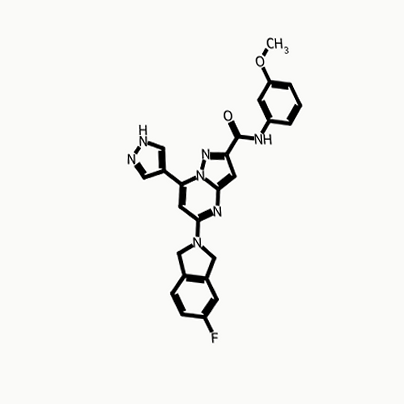 COc1cccc(NC(=O)c2cc3nc(N4Cc5ccc(F)cc5C4)cc(-c4cn[nH]c4)n3n2)c1